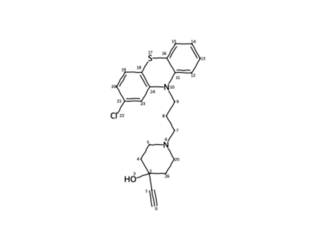 C#CC1(O)CCN(CCCN2c3ccccc3Sc3ccc(Cl)cc32)CC1